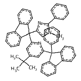 Cn1cc(C2(c3cc(C(C)(C)C)cc(C4(c5ccccc5)c5ccccc5-c5ccccc54)n3)c3ccccc3-c3ccccc32)nc1-c1ccccc1